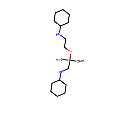 CO[Si](CNC1CCCCC1)(OC)OCCNC1CCCCC1